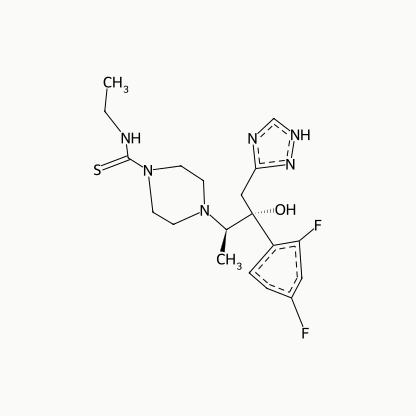 CCNC(=S)N1CCN([C@H](C)[C@@](O)(Cc2nc[nH]n2)c2ccc(F)cc2F)CC1